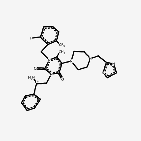 Cc1c(N2CCN(Cc3nccs3)CC2)c(=O)n(C[C@H](N)c2ccccc2)c(=O)n1Cc1c(F)cccc1C(F)(F)F